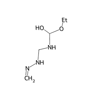 C=NNCNC(O)OCC